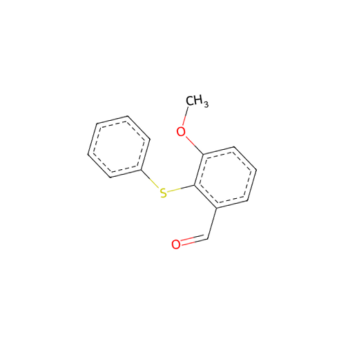 COc1cccc(C=O)c1Sc1ccccc1